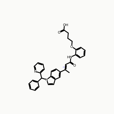 C/C(=C\C(=O)Nc1ccccc1OCCCC(=O)O)c1ccc2c(ccn2C(c2ccccc2)c2ccccn2)c1